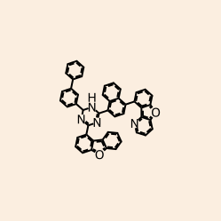 c1ccc(-c2cccc(C3N=C(c4cccc5oc6ccccc6c45)N=C(c4ccc(-c5cccc6oc7cccnc7c56)c5ccccc45)N3)c2)cc1